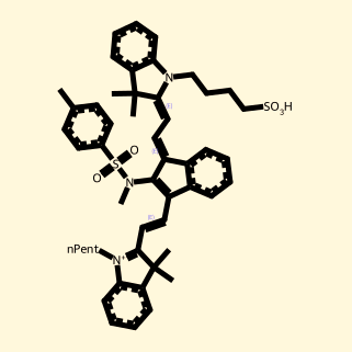 CCCCC[N+]1=C(/C=C/C2=C(N(C)S(=O)(=O)c3ccc(C)cc3)C(=C/C=C3/N(CCCCS(=O)(=O)O)c4ccccc4C3(C)C)/c3ccccc32)C(C)(C)c2ccccc21